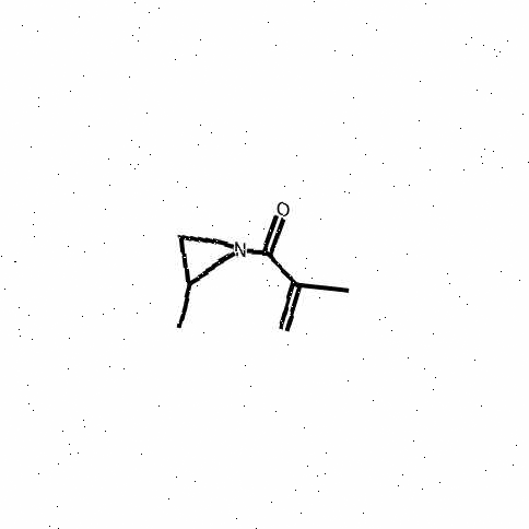 C=C(C)C(=O)N1CC1C